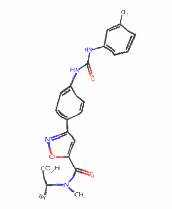 CC(C)[C@@H](C(=O)O)N(C)C(=O)c1cc(-c2ccc(NC(=O)Nc3cccc(C(F)(F)F)c3)cc2)no1